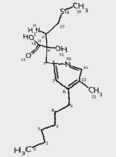 CCCCCCc1cc(CC(O)(C(=O)O)C(N)CSC)ncc1C